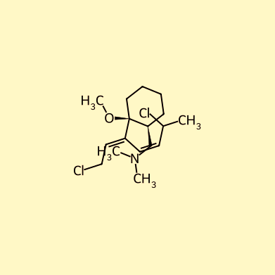 CO[C@@]1(C(/C=C\C(C)Cl)=C/CCl)CCCC[C@H]1CN(C)C